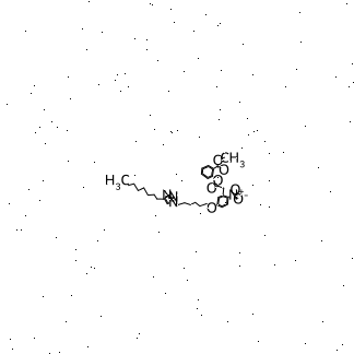 CCCCCCCCc1cn(CCCCCCOc2ccc([N+](=O)[O-])c(CC(=O)Oc3ccccc3C(=O)OC)c2)nn1